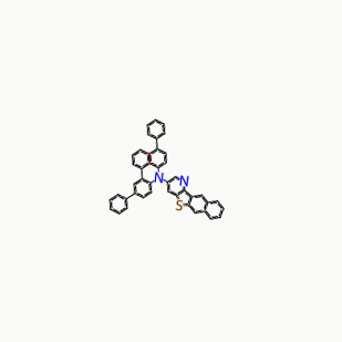 c1ccc(-c2ccc(N(c3cnc4c(c3)sc3cc5ccccc5cc34)c3ccc(-c4ccccc4)cc3-c3ccccc3)cc2)cc1